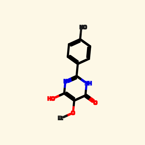 CCOc1c(O)nc(-c2ccc(N=O)cc2)[nH]c1=O